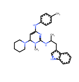 Cc1ccc(NC2=CC(N3CCCCC3)N(C)C(NC(C)Cc3c[nH]c4ccccc34)=N2)cc1